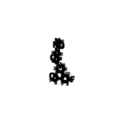 Fc1ccc([C@H]2CCOC2)c(C2CCN([C@@H]3COC4(C3)CN(c3nnco3)C4)CC2)c1